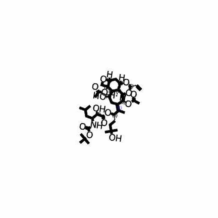 C=C[C@H]1O[C@H]2C[C@H]3OC[C@@]3(OC(C)=O)[C@H]3[C@H](O)C/C(=C(/C)[C@H](CCC(C)(C)O)OC(=O)[C@H](O)C(CC(C)C)NC(=O)OC(C)(C)C)[C@H](OC(C)=O)[C@H](O1)[C@]23C